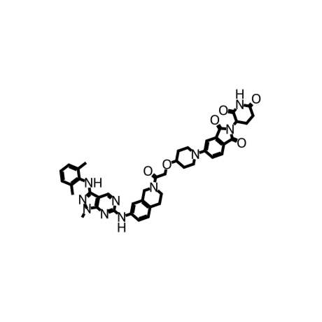 Cc1cccc(C)c1Nc1nn(C)c2nc(Nc3ccc4c(c3)CN(C(=O)COC3CCN(c5ccc6c(c5)C(=O)N(C5CCC(=O)NC5=O)C6=O)CC3)CC4)ncc12